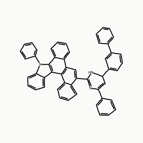 C1=C(c2ccccc2)N=C(c2cc3c4ccccc4c4c(c5ccccc5n4-c4ccccc4)c3c3ccccc23)NC1c1cccc(-c2ccccc2)c1